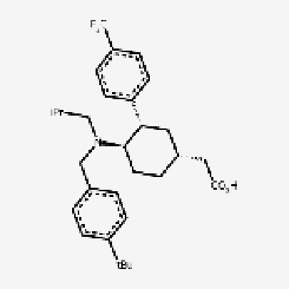 CC(C)CN(Cc1ccc(C(C)(C)C)cc1)[C@@H]1CC[C@@H](CC(=O)O)C[C@H]1c1ccc(C(F)(F)F)cc1